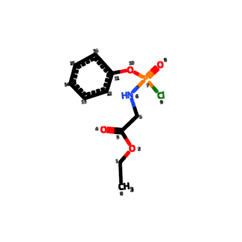 CCOC(=O)CNP(=O)(Cl)Oc1ccccc1